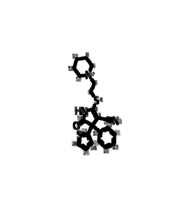 N#CC1=C(SCCN2CCCCC2)NC(=O)C1(c1ccccc1)c1cccs1